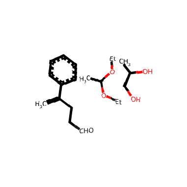 C=C(CCC=O)c1ccccc1.CC(O)CO.CCOC(C)OCC